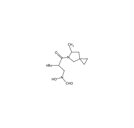 CCCCC(CN(O)C=O)C(=O)N1CC2(CC2)CC1C